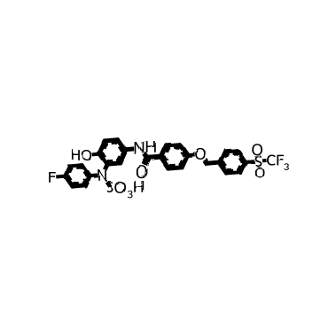 O=C(Nc1ccc(O)c(N(c2ccc(F)cc2)S(=O)(=O)O)c1)c1ccc(OCc2ccc(S(=O)(=O)C(F)(F)F)cc2)cc1